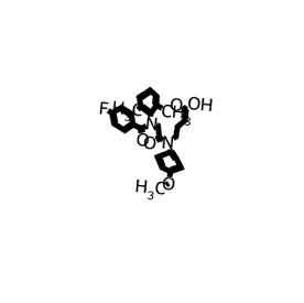 COc1ccc(N(CCCC(=O)O)C(=O)CN(C(=O)c2ccc(F)cc2)c2c(C)cccc2C)cc1